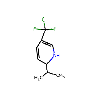 CC(C)C1C=CC(C(F)(F)F)=CN1